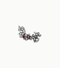 COC(=O)NC(C(=O)N1CCC[C@H]1c1nc(-c2cc3ccc2CCc2ccc(c(-c4ccc5[nH]c([C@@H]6C[C@@H]7CCCC[C@@H]7N6C(=O)C(NC(=O)OC)C(C)C)nc5c4)c2)CC3)c[nH]1)C(C)C